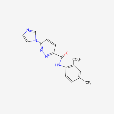 O=C(Nc1ccc(C(F)(F)F)cc1C(=O)O)c1ccc(-n2ccnc2)nn1